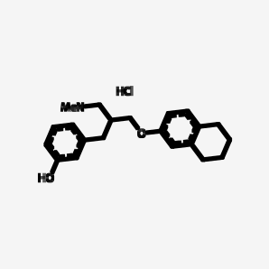 CNCC(COc1ccc2c(c1)CCCC2)Cc1cccc(O)c1.Cl